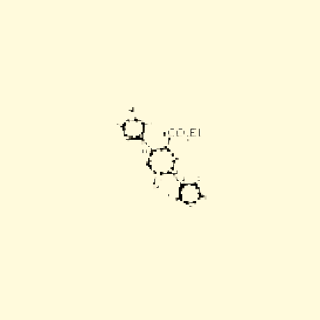 CCOC(=O)c1cc(-c2ccsc2)c(C(=O)OCC)cc1-c1ccsc1